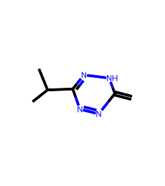 C=C1N=NC(C(C)C)=NN1